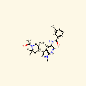 COc1c(NC(=O)c2cccc(C#N)c2)cnc2c1c([C@H]1CCN(C(=O)C(C)C)C(C)(C)C1)cn2C